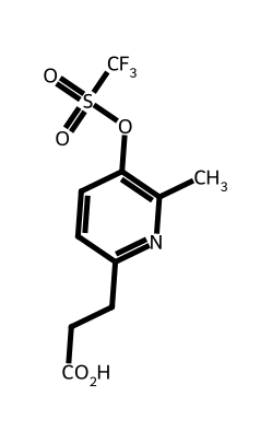 Cc1nc(CCC(=O)O)ccc1OS(=O)(=O)C(F)(F)F